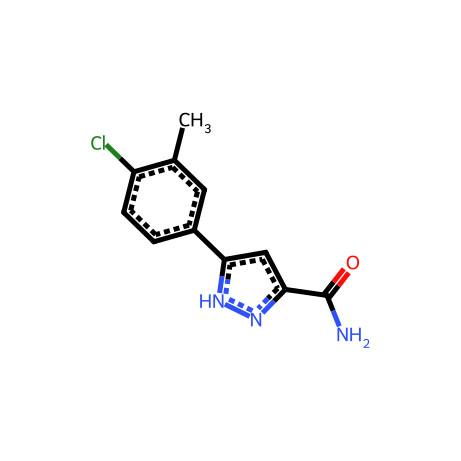 Cc1cc(-c2cc(C(N)=O)n[nH]2)ccc1Cl